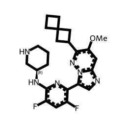 COc1cc2ncc(-c3nc(N[C@@H]4CCCNC4)c(F)cc3F)n2nc1C1CC2(CCC2)C1